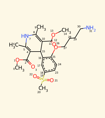 COC(=O)C1=C(C)NC(C)=C(C(=O)OC)C1c1cc(S(C)(=O)=O)ccc1OCCCCN